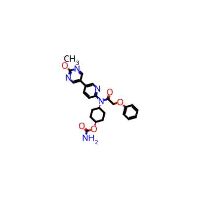 COc1ncc(-c2ccc(N(C(=O)COc3ccccc3)[C@H]3CC[C@H](OC(N)=O)CC3)nc2)cn1